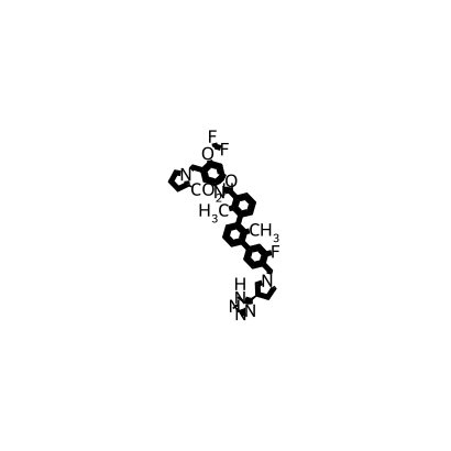 Cc1c(-c2ccc(CN3CC[C@@H](c4nnn[nH]4)C3)c(F)c2)cccc1-c1cccc(-c2nc3cc(CN4CCC[C@H]4C(=O)O)c(OC(F)F)cc3o2)c1C